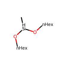 CCCCCCO[SiH](C)OCCCCCC